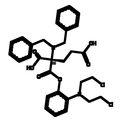 O=C(O)CC[C@](C(=O)O)(C(=O)Oc1ccccc1N(CCCl)CCCl)N(Cc1ccccc1)Cc1ccccc1